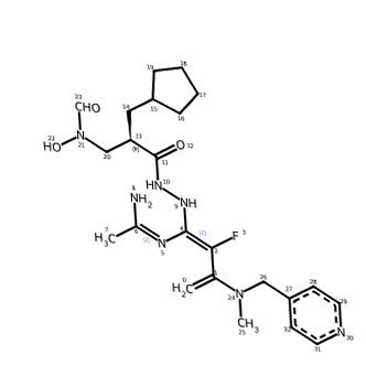 C=C(/C(F)=C(\N=C(\C)N)NNC(=O)[C@H](CC1CCCC1)CN(O)C=O)N(C)Cc1ccncc1